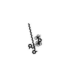 CCCCCCCCCCCCCCCCCCN(Cc1ccccc1C)Cc1ccccc1C.O=[N+]([O-])c1cccc(S(=O)(=O)O)c1